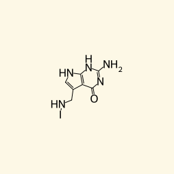 Nc1nc(=O)c2c(CNI)c[nH]c2[nH]1